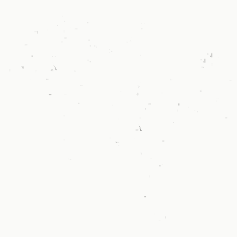 C=C(C)[C@@H]1CCC(C)=C[C@H]1c1c(O)cc(CCCCC)cc1C(CCCOC(=O)O)OP(=O)(O)O.C=C(C)[C@@H]1CCC(C)=C[C@H]1c1c(O)cc(CCCCC)cc1C(CCCOC(=O)O)OP(=O)(O)O.N.N